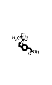 CN(C)C(=O)n1ccc2ccc(CC(=O)O)cc21